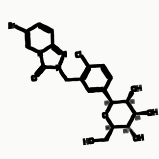 O=c1n(Cc2cc([C@@H]3O[C@H](CO)[C@@H](O)[C@H](O)[C@@H]3O)ccc2Cl)nc2ccc(Br)cn12